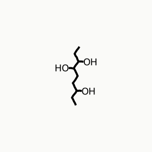 CCC(O)CCC(O)C(O)CC